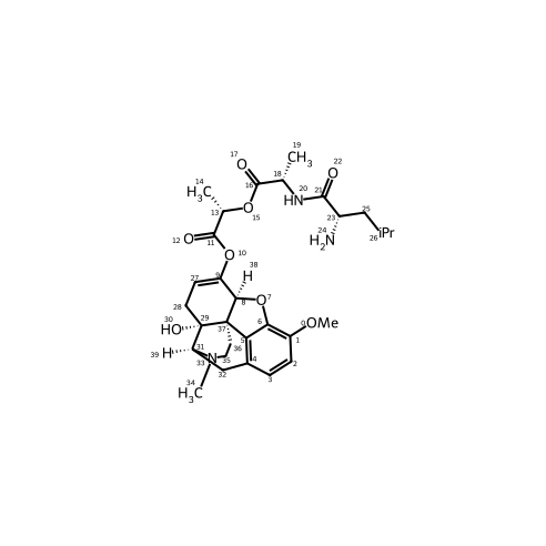 COc1ccc2c3c1O[C@@H]1C(OC(=O)[C@H](C)OC(=O)[C@H](C)NC(=O)[C@@H](N)CC(C)C)=CC[C@]4(O)[C@H](C2)N(C)CC[C@@]314